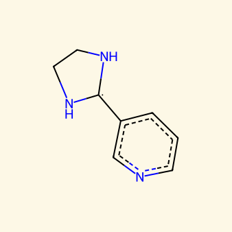 c1cncc([C]2NCCN2)c1